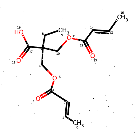 CC=CC(=O)OCC(CC)(COC(=O)C=CC)C(=O)O